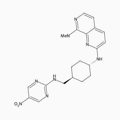 CNc1nccc2ccc(N[C@H]3CC[C@H](CNc4ncc([N+](=O)[O-])cn4)CC3)nc12